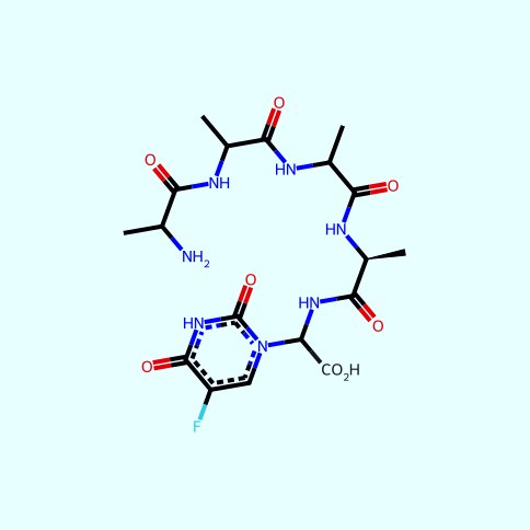 CC(N)C(=O)NC(C)C(=O)NC(C)C(=O)N[C@@H](C)C(=O)NC(C(=O)O)n1cc(F)c(=O)[nH]c1=O